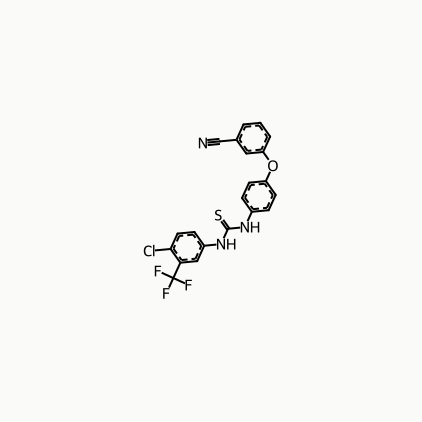 N#Cc1cccc(Oc2ccc(NC(=S)Nc3ccc(Cl)c(C(F)(F)F)c3)cc2)c1